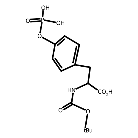 CC(C)(C)OC(=O)NC(Cc1ccc(OP(=O)(O)O)cc1)C(=O)O